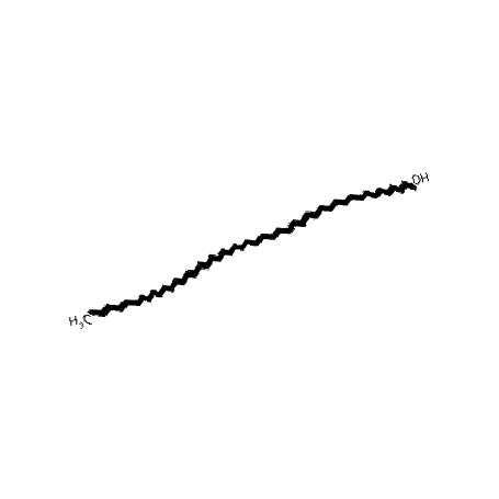 CCCCCCCCCCCCCCCCCCCCCCCCCCCCCCCCCCCCCCCCCCCCCCCCCO